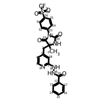 CC1(Cc2ccnc(NNC(=O)c3ccccc3)c2)NC(=O)N(c2ccc(S(=O)(=O)C(F)(F)F)cc2)C1=O